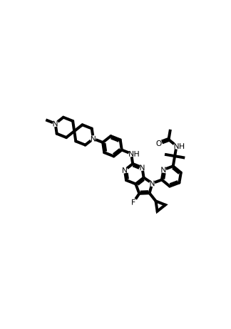 CC(=O)NC(C)(C)c1cccc(-n2c(C3CC3)c(F)c3cnc(Nc4ccc(N5CCC6(CCN(C)CC6)CC5)cc4)nc32)n1